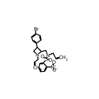 C=CCN1CC(c2ccc(Br)cc2)C1CN(CC=C)S(=O)(=O)c1ccccc1[N+](=O)[O-]